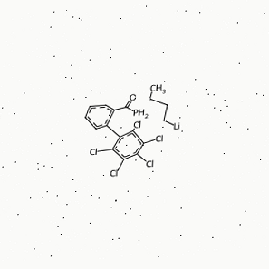 O=C(P)c1ccccc1-c1c(Cl)c(Cl)c(Cl)c(Cl)c1Cl.[Li][CH2]CCC